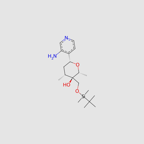 C[C@@H]1C[C@H](c2ccncc2N)O[C@H](C)[C@]1(O)CO[Si](C)(C)C(C)(C)C